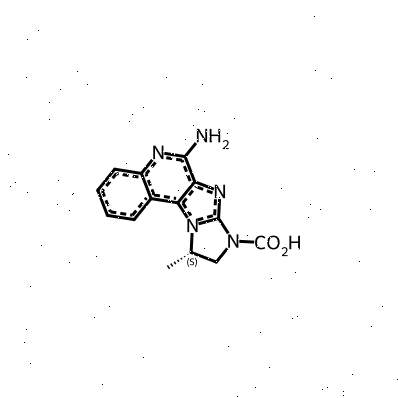 C[C@H]1CN(C(=O)O)c2nc3c(N)nc4ccccc4c3n21